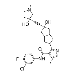 CN1CCC(O)(C#CC2(O)CC3CC(c4ncn(C)c4C(=O)Nc4ccc(F)c(Cl)c4)CC3C2)C1